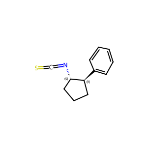 S=C=N[C@H]1CCC[C@@H]1c1ccccc1